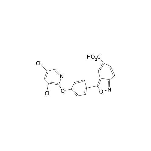 O=C(O)c1ccc2noc(-c3ccc(Oc4ncc(Cl)cc4Cl)cc3)c2c1